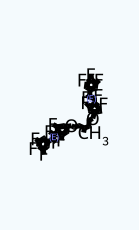 CC(CCOc1cc(F)c(/C(F)=C(\F)c2cc(F)c(F)c(F)c2)c(F)c1)CCOc1cc(F)c(/C(F)=C(\F)c2cc(F)c(F)c(F)c2)c(F)c1